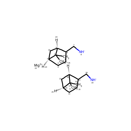 CC1(C)[C@H]2CCC(C[NH-])[C@@H]1C2.CC1(C)[C@H]2CCC(C[NH-])[C@@H]1C2.[Mg+2]